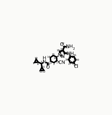 N#C[C@@H]1C[C@H](C(=O)NC(C2CC2)C2CC2)CC[C@H]1n1cc(C(N)=O)c(Nc2ccc(Cl)cc2)n1